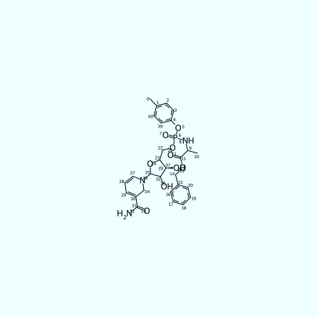 Cc1ccc(OP(=O)(NC(C)C(=O)OCc2ccccc2)OCC2OC(N3C=CC=C(C(N)=O)C3)C(O)[C@@H]2O)cc1